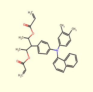 C=CC(=O)OC(C)C(c1ccc(N(c2ccc(C)c(C)c2)c2cccc3ccccc23)cc1)C(C)OC(=O)C=C